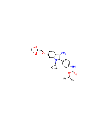 CC(C)C(OC(=O)Nc1ccc(-c2c(N)c3ccc(OCC4OCCO4)cc3n2C2CCC2)cc1)C(C)C